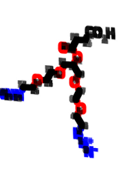 [N-]=[N+]=NCCOCCOCC(COCCOCCN=[N+]=[N-])OC(=O)CCC(=O)O